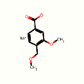 COCc1ccc(C(=O)[O-])cc1OC.[Na+]